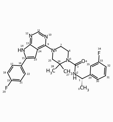 C[C@H](NC(=O)N1CCN(c2ncnc3[nH]c(-c4ccc(F)cc4)cc23)CC1(C)C)c1cccc(F)c1